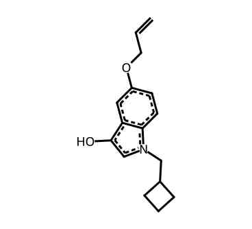 C=CCOc1ccc2c(c1)c(O)cn2CC1CCC1